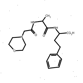 CC(NC(=O)CN1CCOCC1)C(=O)NC(CCc1ccccc1)C(=O)O